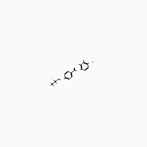 CCCCCCCCOc1ccc(OC(=O)c2ccc(OCC(F)(F)C(F)(F)C(F)(F)F)cc2)c(C#N)c1C#N